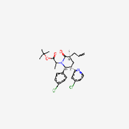 C=CC[C@@]1(C)C[C@H](c2cc(Cl)ccn2)[C@@H](c2ccc(Cl)cc2)N(C(C)C(=O)OC(C)(C)C)C1=O